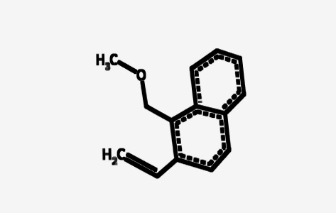 C=Cc1ccc2ccccc2c1COC